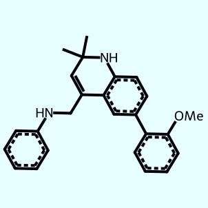 COc1ccccc1-c1ccc2c(c1)C(CNc1ccccc1)=CC(C)(C)N2